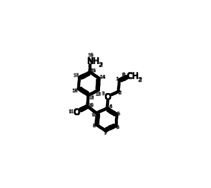 C=CCOc1ccccc1C(=O)c1ccc(N)cc1